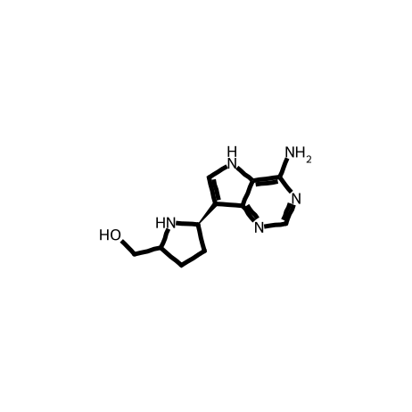 Nc1ncnc2c([C@H]3CCC(CO)N3)c[nH]c12